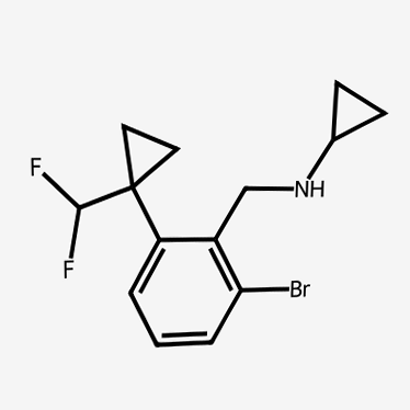 FC(F)C1(c2cccc(Br)c2CNC2CC2)CC1